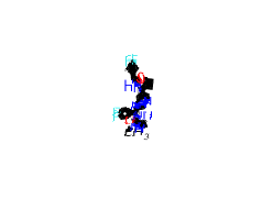 CCn1nccc1C(=O)N[C@H](c1cn2ncc([C@@H](NC(=O)CC3CC(F)(F)C3)C3CCC3)cc2n1)C1CCC(F)(F)CC1